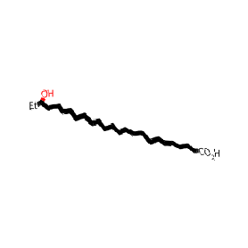 CCC(O)CCCCCCCCCCCCCCCCCCCCCC(=O)O